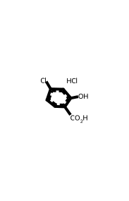 Cl.O=C(O)c1ccc(Cl)cc1O